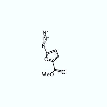 COC(=O)c1ccc(N=[N+]=[N-])o1